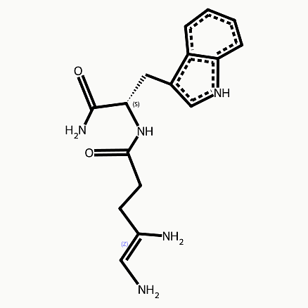 N/C=C(\N)CCC(=O)N[C@@H](Cc1c[nH]c2ccccc12)C(N)=O